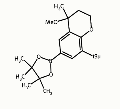 COC1(C)CCOc2c(C(C)(C)C)cc(B3OC(C)(C)C(C)(C)O3)cc21